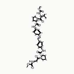 COC(=O)NCC(=O)N1CCC[C@H]1C(=O)Nc1ccc(/N=N/c2ccc(NC(=O)[C@@H]3CCCN3C(=O)[C@@H](NC(=O)OC)C(C)C)cc2)cc1